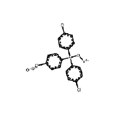 Clc1ccc([Si]([O][V+4])(c2ccc(Cl)cc2)c2ccc(Cl)cc2)cc1.[O-2].[O-2]